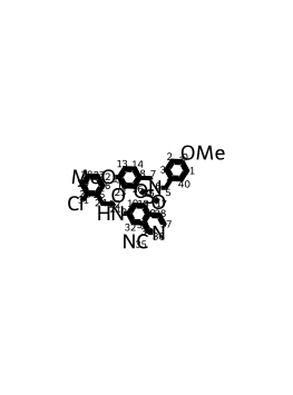 COc1ccc(CN(Cc2ccc(OC)cc2)S(=O)(=O)c2cc(NC(=O)Cc3ccccc3Cl)cc3c(C#N)nccc23)cc1